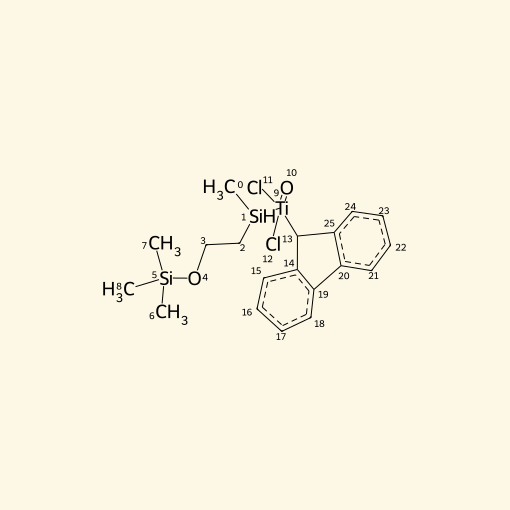 C[SiH](CCO[Si](C)(C)C)[Ti](=[O])([Cl])([Cl])[CH]1c2ccccc2-c2ccccc21